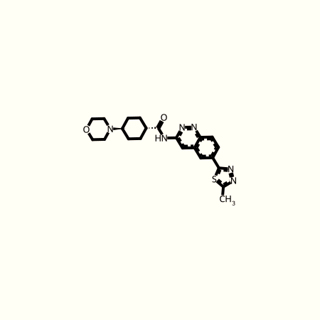 Cc1nnc(-c2ccc3nnc(NC(=O)[C@H]4CC[C@H](N5CCOCC5)CC4)cc3c2)s1